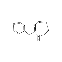 C1=CN=C(Cc2ccccc2)NC=C1